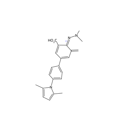 C=C1C=C(c2ccc(-n3c(C)ccc3C)cc2)C=C(C(=O)O)/C1=N/N(C)C